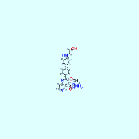 COc1c(-c2ccc(-c3ccc(NCCO)cc3)cc2)nc2ccncc2c1C(=O)NN